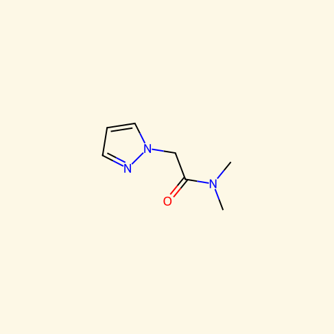 CN(C)C(=O)Cn1cccn1